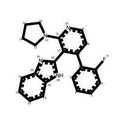 Fc1ccccc1-c1ccnc(N2CCCC2)c1-c1nc2ccccc2[nH]1